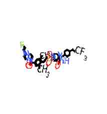 Cc1cc(C(=O)N2CCN(CCF)CC2)cc(C)c1C=CS(=O)(=O)N1CCC2(CC1)N=C(C1CCC(CCC(F)(F)F)CC1)NC2=O